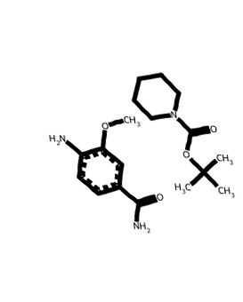 CC(C)(C)OC(=O)N1CCCCC1.COc1cc(C(N)=O)ccc1N